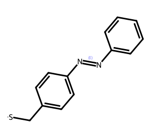 [S]Cc1ccc(/N=N/c2ccccc2)cc1